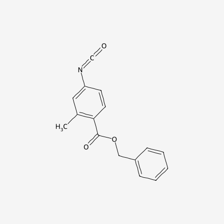 Cc1cc(N=C=O)ccc1C(=O)OCc1ccccc1